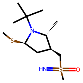 CS[C@@H]1C[C@H](CS(C)(=N)=O)[C@@H](C)N1C(C)(C)C